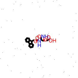 NC(=O)C(COCC(=O)O)NC(=O)OCC1c2ccccc2-c2ccccc21